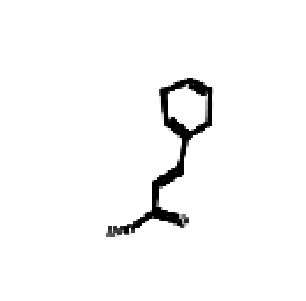 COC(=O)C=CC1=CCC=CC1